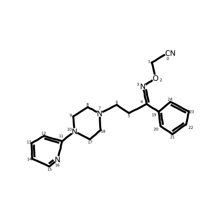 N#CCON=C(CCN1CCN(c2ccccn2)CC1)c1ccccc1